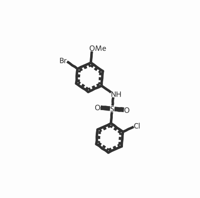 COc1cc(NS(=O)(=O)c2ccccc2Cl)ccc1Br